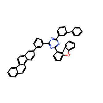 c1ccc(-c2cccc(-c3nc(-c4cccc(-c5ccc6c(ccc7c8ccccc8ccc67)c5)c4)nc(-c4cccc5oc6ccccc6c45)n3)c2)cc1